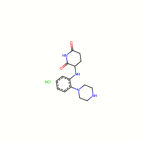 Cl.O=C1CCC(Nc2ccccc2N2CCNCC2)C(=O)N1